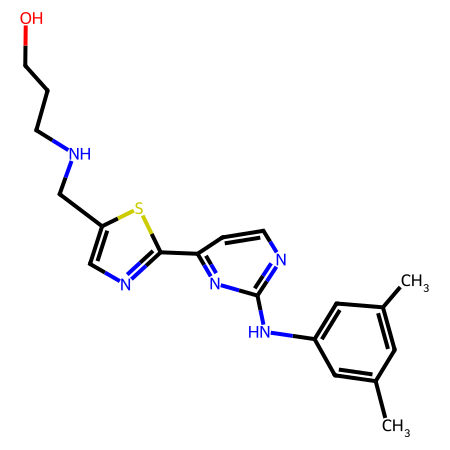 Cc1cc(C)cc(Nc2nccc(-c3ncc(CNCCCO)s3)n2)c1